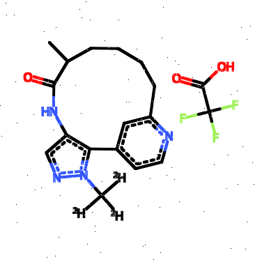 O=C(O)C(F)(F)F.[2H]C([2H])([2H])n1ncc2c1-c1ccnc(c1)CCCCC(C)C(=O)N2